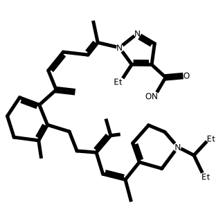 C=C(/C=C\C=C(/C)n1ncc(C(=O)N=O)c1CC)C1=CCCC(C)=C1CCC(/C=C(/C)C1=CCCN(C(CC)CC)C1)=C(C)C